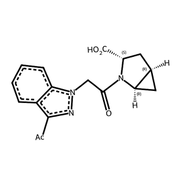 CC(=O)c1nn(CC(=O)N2[C@@H]3C[C@@H]3C[C@H]2C(=O)O)c2ccccc12